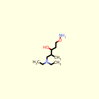 CCN(CC)CC(C)C(O)CCON